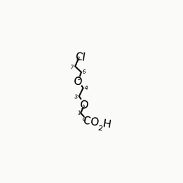 O=C(O)COCCOCCCl